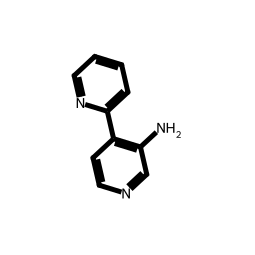 Nc1cnccc1-c1ccccn1